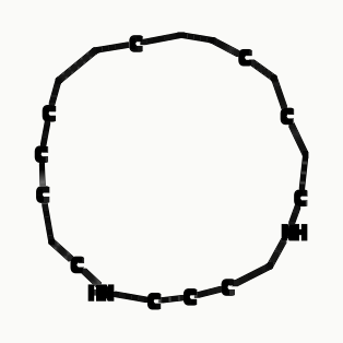 C1CCCCCCCNCCCCNCCCCCCC1